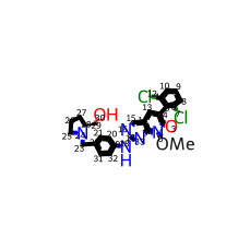 COn1c(=O)c(-c2c(Cl)cccc2Cl)cc2cnc(Nc3ccc(CN4CCC[C@H]4CO)cc3)nc21